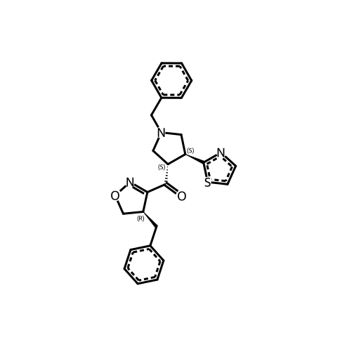 O=C(C1=NOC[C@@H]1Cc1ccccc1)[C@@H]1CN(Cc2ccccc2)C[C@H]1c1nccs1